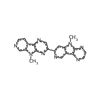 Cn1c2cc(-c3cnc4c5ccncc5n(C)c4n3)ncc2c2nccnc21